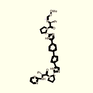 COO/C=N\[C@H](C(=O)N1CCC[C@H]1c1ncc(-c2ccc(-c3ccc(-c4cnc([C@@H]5CCCN5C(=O)[C@H](Nc5ncccn5)C(C)C)[nH]4)cc3)cc2)[nH]1)C(C)C